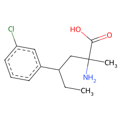 CCC(CC(C)(N)C(=O)O)c1cccc(Cl)c1